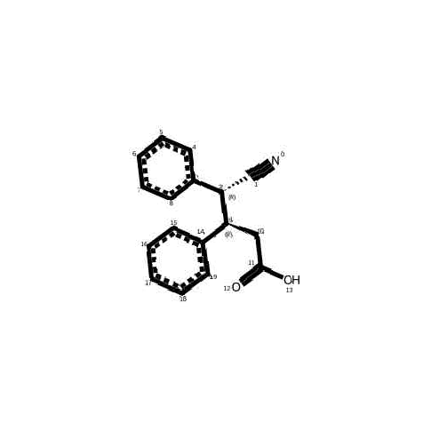 N#C[C@@H](c1ccccc1)[C@@H](CC(=O)O)c1ccccc1